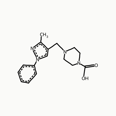 Cc1nn(-c2ccccc2)cc1CN1CCN(C(=O)O)CC1